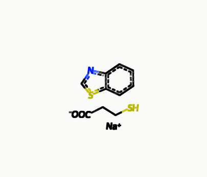 O=C([O-])CCS.[Na+].c1ccc2scnc2c1